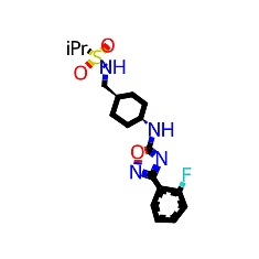 CC(C)S(=O)(=O)NC[C@H]1CC[C@H](Nc2nc(-c3ccccc3F)no2)CC1